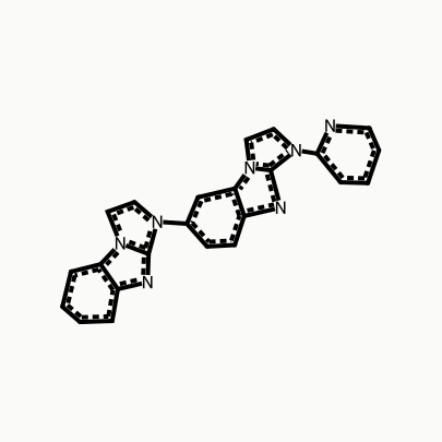 c1ccc(-n2ccn3c4cc(-n5ccn6c7ccccc7nc56)ccc4nc23)nc1